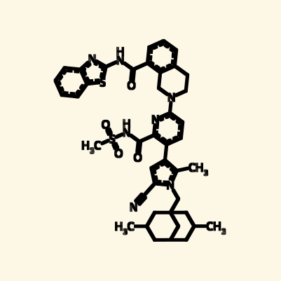 Cc1c(-c2ccc(N3CCc4cccc(C(=O)Nc5nc6ccccc6s5)c4C3)nc2C(=O)NS(C)(=O)=O)cc(C#N)n1CC12CC(C)CC(CC(C)C1)C2